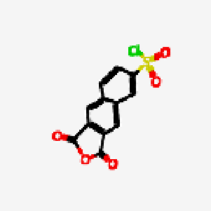 O=C1OC(=O)c2cc3cc(S(=O)(=O)Cl)ccc3cc21